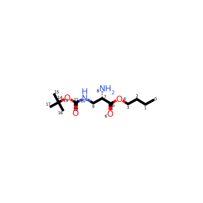 CCCCOC(=O)[C@@H](N)CNC(=O)OC(C)(C)C